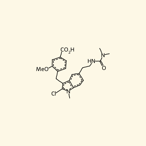 COc1cc(C(=O)O)ccc1Cc1c(Cl)n(C)c2ccc(CCNC(=O)N(C)C)cc12